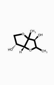 CC1O[C@@H]2[C@H](O)COC2(C)[C@H]1O